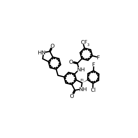 O=C(Nc1cc(Cc2ccc3c(c2)CNC3=O)cc2c1[C@H](c1cc(F)ccc1Cl)NC2=O)c1cc(F)cc(C(F)(F)F)c1